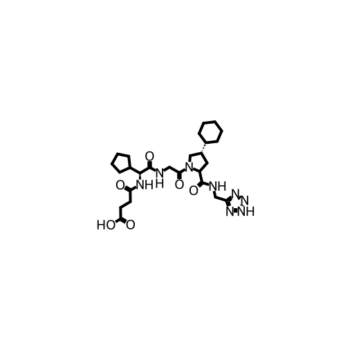 O=C(O)CCC(=O)N[C@H](C(=O)NCC(=O)N1C[C@H](C2CCCCC2)CC1C(=O)NCc1nn[nH]n1)C1CCCC1